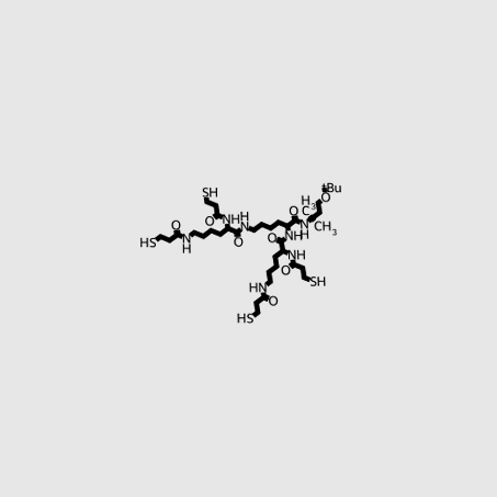 CC(C)(CCOC(C)(C)C)NC(=O)C(CCCCNC(=O)C(CCCCNC(=O)CCS)NC(=O)CCS)NC(=O)C(CCCCNC(=O)CCS)NC(=O)CCS